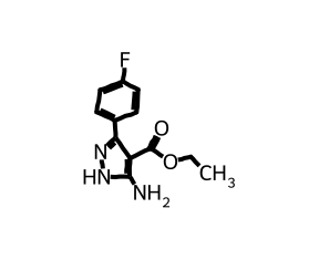 CCOC(=O)c1c(-c2ccc(F)cc2)n[nH]c1N